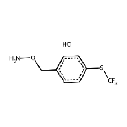 Cl.NOCc1ccc(SC(F)(F)F)cc1